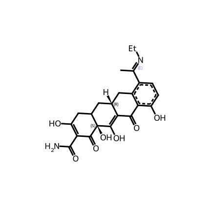 CC/N=C(\C)c1ccc(O)c2c1C[C@H]1CC3CC(O)=C(C(N)=O)C(=O)[C@@]3(O)C(O)=C1C2=O